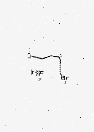 ClCBr.F